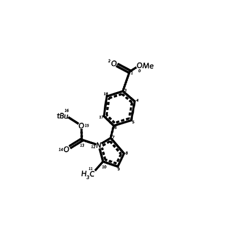 COC(=O)c1ccc(-c2ccc(C)n2C(=O)OC(C)(C)C)cc1